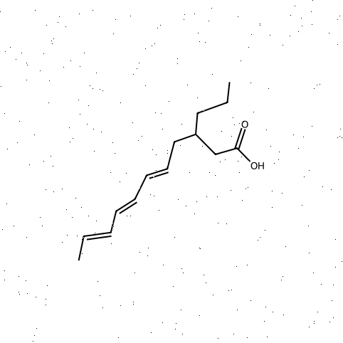 CC=CC=CC=CCC(CCC)CC(=O)O